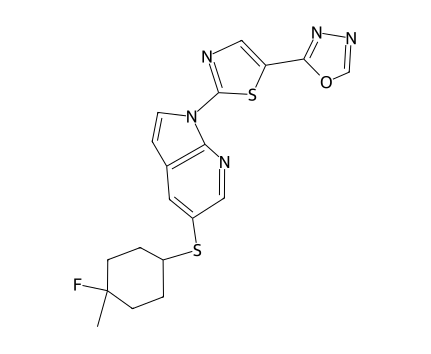 CC1(F)CCC(Sc2cnc3c(ccn3-c3ncc(-c4nnco4)s3)c2)CC1